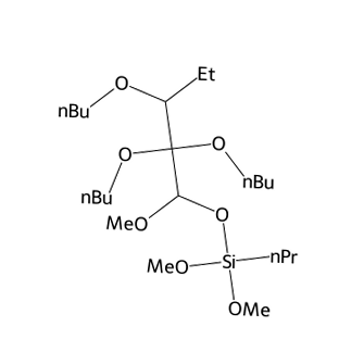 CCCCOC(CC)C(OCCCC)(OCCCC)C(OC)O[Si](CCC)(OC)OC